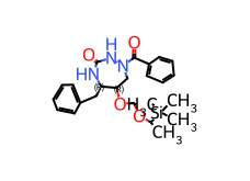 CC(OCO[C@@H]1CN(C(=O)c2ccccc2)NC(=O)N[C@@H]1Cc1ccccc1)[Si](C)(C)C